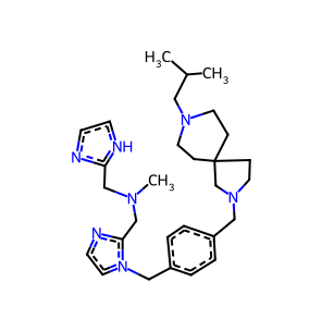 CC(C)CN1CCC2(CC1)CCN(Cc1ccc(Cn3ccnc3CN(C)Cc3ncc[nH]3)cc1)C2